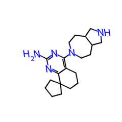 Nc1nc(N2CCC3CNCC3CC2)c2c(n1)C1(CCCC1)CCC2